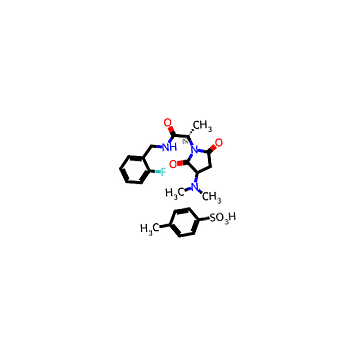 C[C@@H](C(=O)NCc1ccccc1F)N1C(=O)CC(N(C)C)C1=O.Cc1ccc(S(=O)(=O)O)cc1